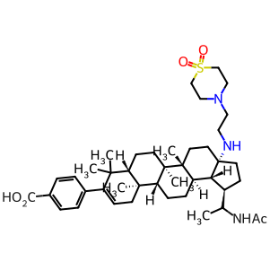 CC(=O)NC(C)[C@@H]1CC[C@]2(NCCN3CCS(=O)(=O)CC3)CC[C@]3(C)[C@H](CC[C@@H]4[C@@]5(C)CC=C(c6ccc(C(=O)O)cc6)C(C)(C)[C@@H]5CC[C@]43C)[C@@H]12